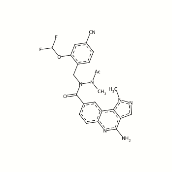 CC(=O)N(C)N(Cc1ccc(C#N)cc1OC(F)F)C(=O)c1ccc2nc(N)c3cnn(C)c3c2c1